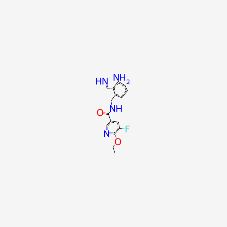 CCOc1ncc(C(=O)NCc2cccc(N)c2C=N)cc1F